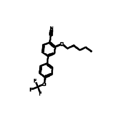 CCCCCOc1cc(-c2ccc(OC(F)(F)F)cc2)ccc1C#N